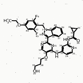 CCOc1cc(F)c(Cn2nc(-c3ncc(OCCCO)c(Nc4ccnc(NC(=O)C5CC5)c4)n3)c3ccccc32)c(F)c1